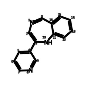 C1=NC=C(c2cccnc2)Nc2ccccc21